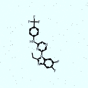 CCc1nc2cc(F)c(F)cc2n1-c1cncc(Nc2ccc(C(F)(F)F)cc2)n1